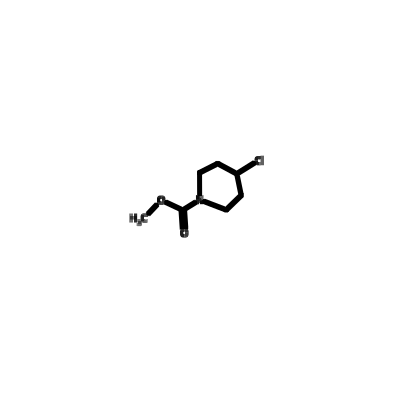 COC(=O)N1CCC(Cl)CC1